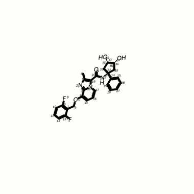 Cc1nc2c(OCc3c(F)cccc3F)cccn2c1C(=O)N[C@]1(c2ccccc2)C[C@@H](O)[C@@H](O)C1